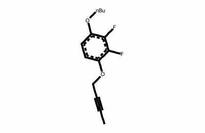 CC#CCOc1ccc(OCCCC)c(F)c1F